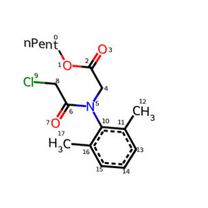 CCCCCOC(=O)CN(C(=O)CCl)c1c(C)cccc1C